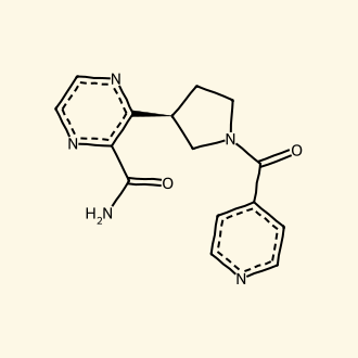 NC(=O)c1nccnc1[C@H]1CCN(C(=O)c2ccncc2)C1